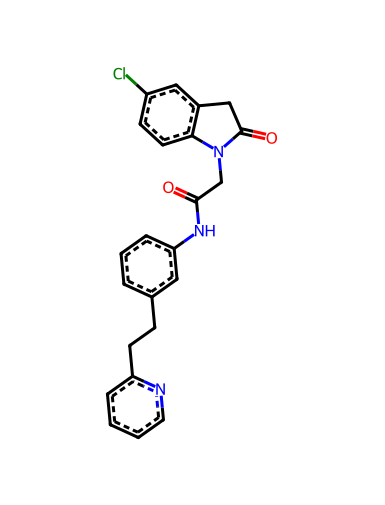 O=C(CN1C(=O)Cc2cc(Cl)ccc21)Nc1cccc(CCc2ccccn2)c1